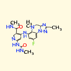 CNC(=O)Nc1cc(Nc2cc(F)cc3c2N(C)Cc2nc(C)nn2-3)c(C(=O)NC)cn1